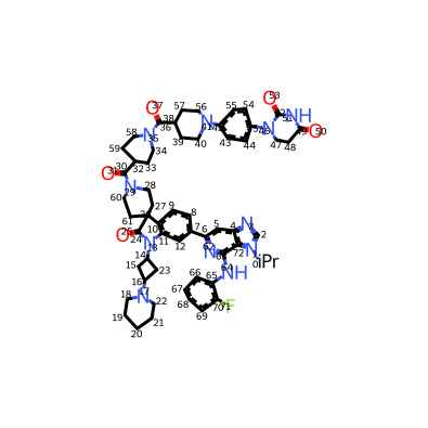 CC(C)n1cnc2cc(-c3ccc4c(c3)N(C3CC(N5CCCCC5)C3)C(=O)C43CCN(C(=O)C4CCN(C(=O)C5CCN(c6ccc(N7CCC(=O)NC7=O)cc6)CC5)CC4)CC3)nc(Nc3ccccc3F)c21